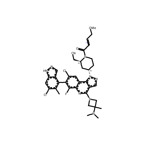 COC/C=C/C(=O)N1CC[C@H](n2ncc3c(N4CC(C)(N(C)C)C4)nc4c(F)c(-c5c(C)c(Cl)cc6[nH]ncc56)c(Cl)cc4c32)C[C@H]1CC#N